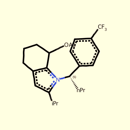 CCC[C@@H](c1ccc(C(F)(F)F)cc1)n1c(C(C)C)cc2c1C(OC(C)=O)CCC2